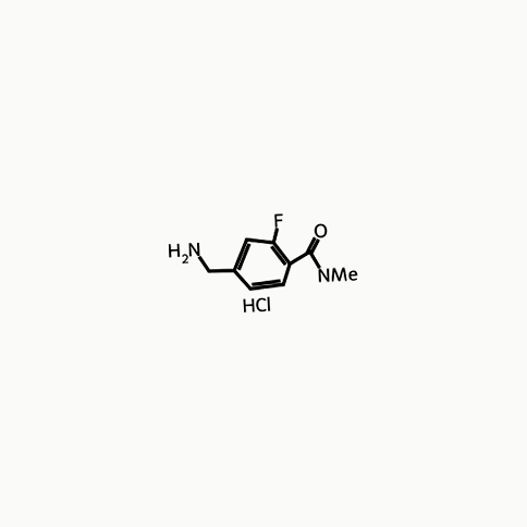 CNC(=O)c1ccc(CN)cc1F.Cl